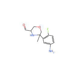 CC1(c2cc(N)ccc2F)COCC(C=O)N1